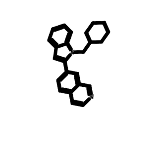 c1ccc2c(c1)cc(-c1ccc3ccncc3c1)n2CC1CCCCC1